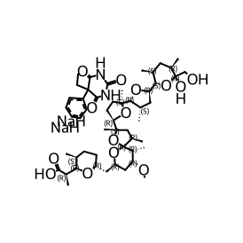 CCC1(c2ccccc2)C(=O)NC(=O)NC1=O.CO[C@@H]1C[C@@H](C[C@H]2CC[C@H](C)[C@H]([C@@H](C)C(=O)O)O2)O[C@]2(O[C@](C)([C@H]3CC[C@@](C)([C@@H]4O[C@@H]([C@H]5O[C@@](O)(CO)[C@H](C)C[C@@H]5C)C[C@@H]4C)O3)C[C@H]2C)[C@@H]1C.[NaH].[NaH]